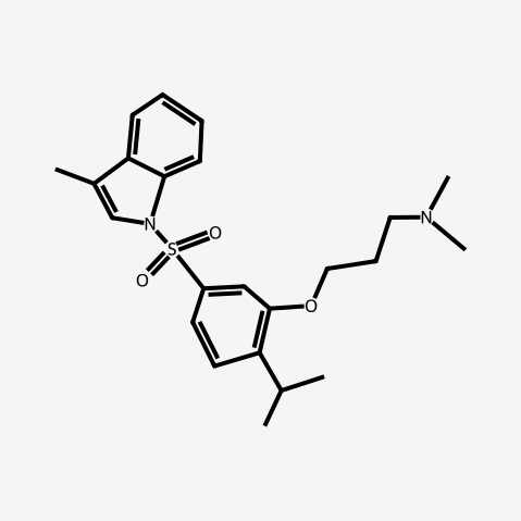 Cc1cn(S(=O)(=O)c2ccc(C(C)C)c(OCCCN(C)C)c2)c2ccccc12